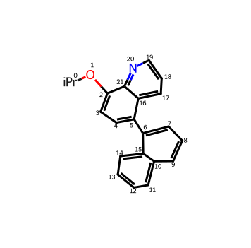 CC(C)Oc1ccc(-c2cccc3ccccc23)c2cccnc12